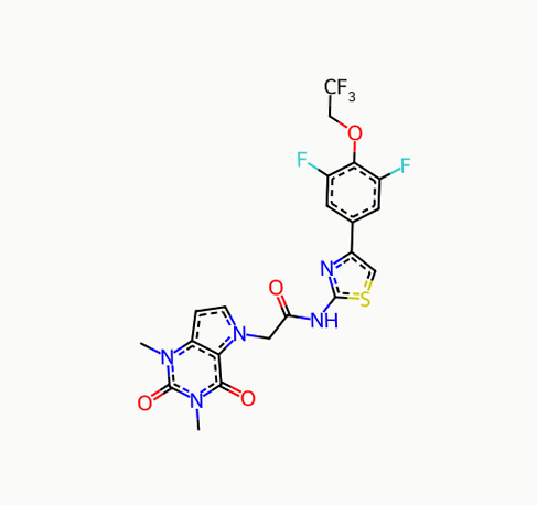 Cn1c(=O)c2c(ccn2CC(=O)Nc2nc(-c3cc(F)c(OCC(F)(F)F)c(F)c3)cs2)n(C)c1=O